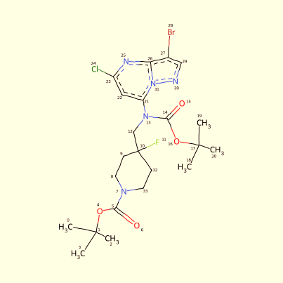 CC(C)(C)OC(=O)N1CCC(F)(CN(C(=O)OC(C)(C)C)c2cc(Cl)nc3c(Br)cnn23)CC1